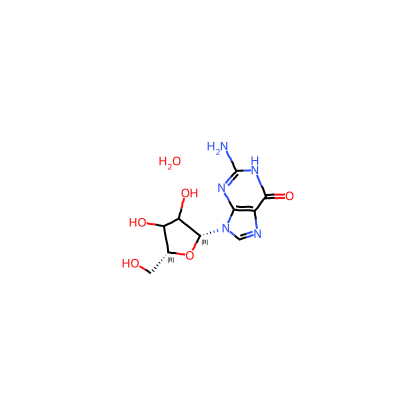 Nc1nc2c(ncn2[C@@H]2O[C@H](CO)C(O)C2O)c(=O)[nH]1.O